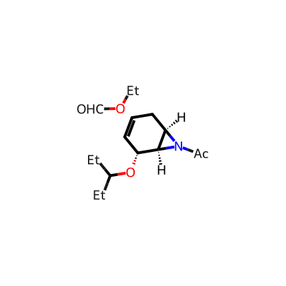 CCC(CC)O[C@@H]1C=CC[C@@H]2[C@H]1N2C(C)=O.CCOC=O